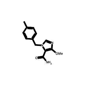 COc1ncn(Cc2ccc(C)cc2)c1C(N)=O